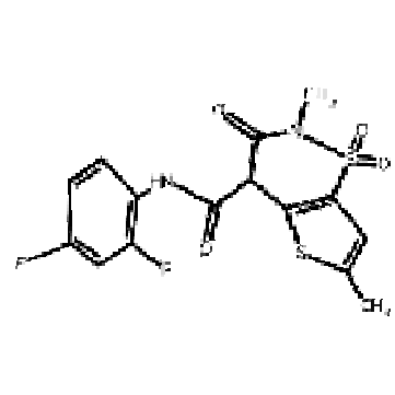 Cc1cc2c(s1)C(C(=O)Nc1ccc(F)cc1F)C(=O)N(C)S2(=O)=O